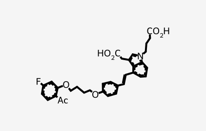 CC(=O)c1ccc(F)cc1OCCCCOc1ccc(/C=C/c2cccc3c2c(CC(=O)O)cn3CCCC(=O)O)cc1